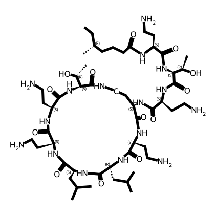 CC[C@@H](C)CCCC(=O)N[C@@H](CCN)C(=O)N[C@H](C(=O)N[C@@H](CCN)C(=O)N[C@H]1CCNC(=O)[C@H]([C@@H](C)O)NC(=O)[C@H](CCN)NC(=O)[C@H](CCN)NC(=O)[C@H](CC(C)C)NC(=O)[C@@H](CC(C)C)NC(=O)[C@H](CCN)NC1=O)[C@@H](C)O